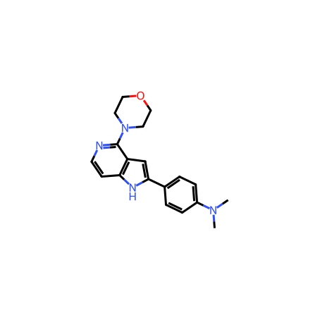 CN(C)c1ccc(-c2cc3c(N4CCOCC4)nccc3[nH]2)cc1